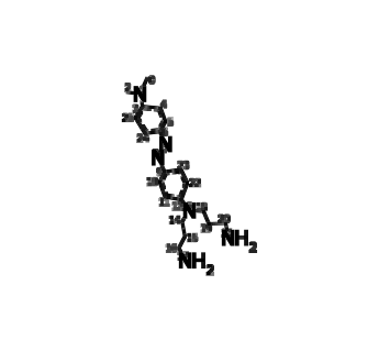 CN(C)c1ccc(N=Nc2ccc(N(CCCN)CCCN)cc2)cc1